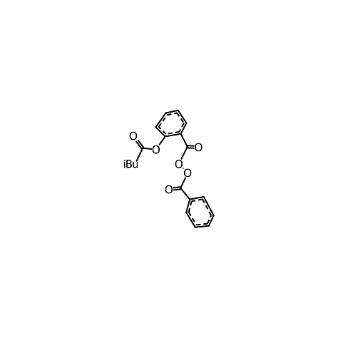 CCC(C)C(=O)Oc1ccccc1C(=O)OOC(=O)c1ccccc1